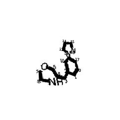 c1cc(CC2COCCN2)cc(-n2cccn2)c1